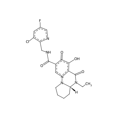 CCN1C(=O)c2c(O)c(=O)c(C(=O)NCc3ncc(F)cc3Cl)cn2N2CCCC[C@@H]12